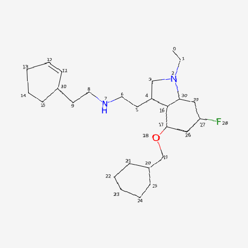 CCN1CC(CCNCCC2C=CCCC2)C2C(OCC3CCCCC3)CC(F)CC21